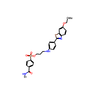 CCNC(=O)c1ccc(S(=O)(=O)OCCCNc2ccc(-c3nc4ccc(OCOC)cc4s3)cc2)cc1